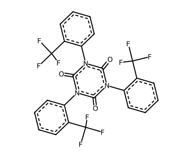 O=c1n(-c2ccccc2C(F)(F)F)c(=O)n(-c2ccccc2C(F)(F)F)c(=O)n1-c1ccccc1C(F)(F)F